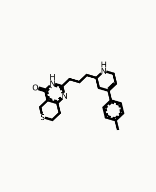 Cc1ccc(C2=CCNC(CCCc3nc4c(c(=O)[nH]3)CSCC4)C2)cc1